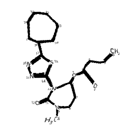 C=CCC(=O)OC1CCN(C)C(=O)N1c1nnc(C2CCCCCC2)s1